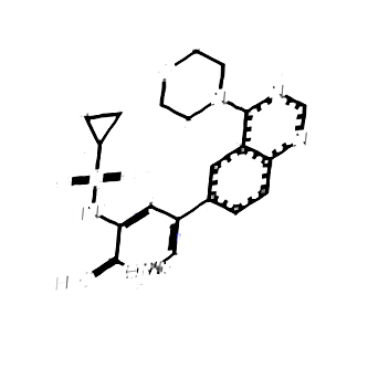 C=C(OC)/C(=C\C(=C/N)c1ccc2ncnc(N3CCOCC3)c2c1)NS(=O)(=O)C1CC1